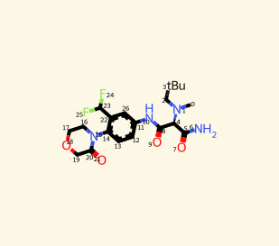 CN(CC(C)(C)C)[C@@H](C(N)=O)C(=O)Nc1ccc(N2CCOCC2=O)c(C(F)F)c1